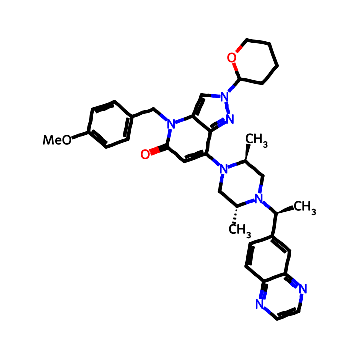 COc1ccc(Cn2c(=O)cc(N3C[C@@H](C)N([C@@H](C)c4ccc5nccnc5c4)C[C@@H]3C)c3nn(C4CCCCO4)cc32)cc1